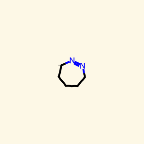 [CH]1CCCCN=N1